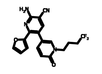 N#Cc1cc(-c2ccc(=O)n(CCCC(F)(F)F)c2)c(-c2ccco2)nc1N